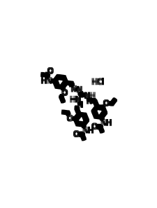 CCOc1cc(NC(C)=O)ccc1/C=N/N=C(N/N=C/c1ccc(NC(C)=O)cc1OCC)N/N=C/c1ccc(NC(C)=O)cc1OCC.Cl